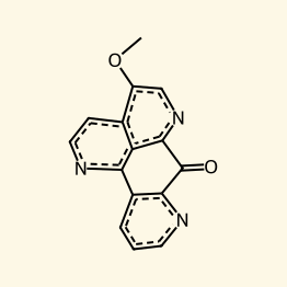 COc1cnc2c3c(nccc13)-c1cccnc1C2=O